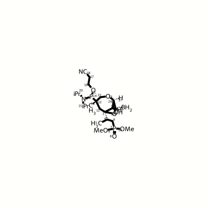 B[C@@H]1O[C@@]2(C(C)CP(=O)(OC)OC)C[C@](C)(P(OCCC#N)N(C(C)C)C(C)C)CO[C@@H]1[C@@H]2O